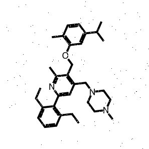 CCc1cccc(CC)c1-c1cc(CN2CCN(C)CC2)c(COc2cc(C(C)C)ccc2C)c(C)n1